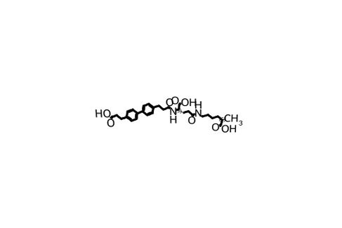 C[C@@H](CCCCNC(=O)CC[C@H](NC(=O)CCc1ccc(-c2ccc(CCC(=O)O)cc2)cc1)C(=O)O)C(=O)O